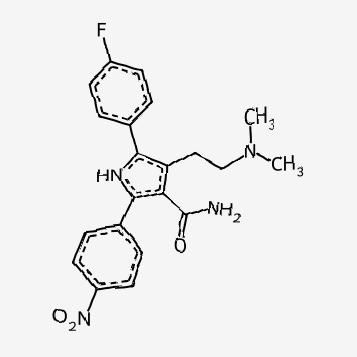 CN(C)CCc1c(-c2ccc(F)cc2)[nH]c(-c2ccc([N+](=O)[O-])cc2)c1C(N)=O